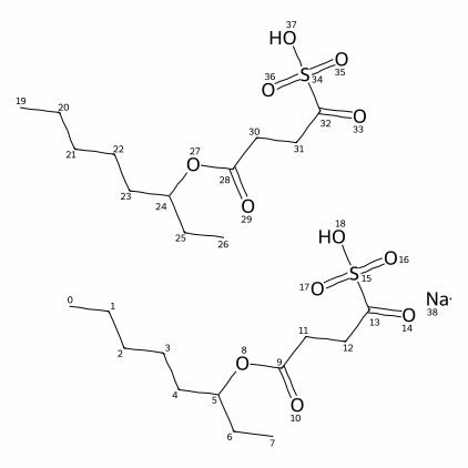 CCCCCC(CC)OC(=O)CCC(=O)S(=O)(=O)O.CCCCCC(CC)OC(=O)CCC(=O)S(=O)(=O)O.[Na]